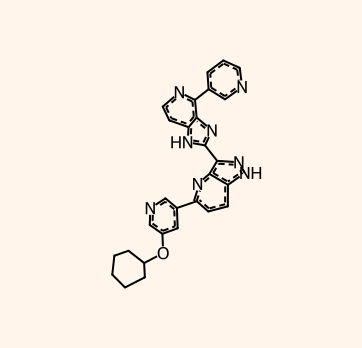 c1cncc(-c2nccc3[nH]c(-c4n[nH]c5ccc(-c6cncc(OC7CCCCC7)c6)nc45)nc23)c1